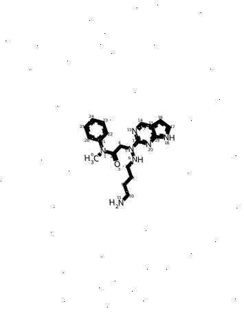 CN(C(=O)CN(NCCCCN)c1ncc2cc[nH]c2n1)c1ccccc1